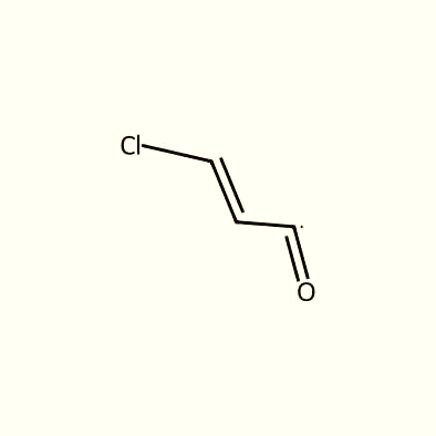 O=[C]/C=C/Cl